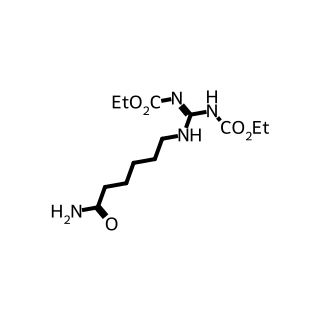 CCOC(=O)/N=C(\NCCCCCC(N)=O)NC(=O)OCC